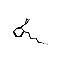 CCCCCCCCCCCCc1ccccc1C1CO1